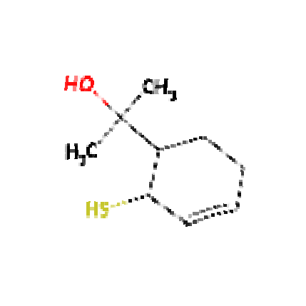 CC(C)(O)C1CCC=CC1S